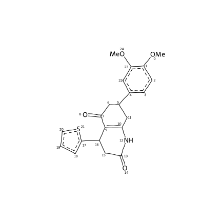 COc1ccc(C2CC(=O)C3=C(C2)NC(=O)CC3c2cccs2)cc1OC